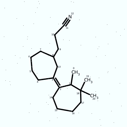 CC1C(=C2CCCCC(CCC#N)C2)CCCCC1(C)C